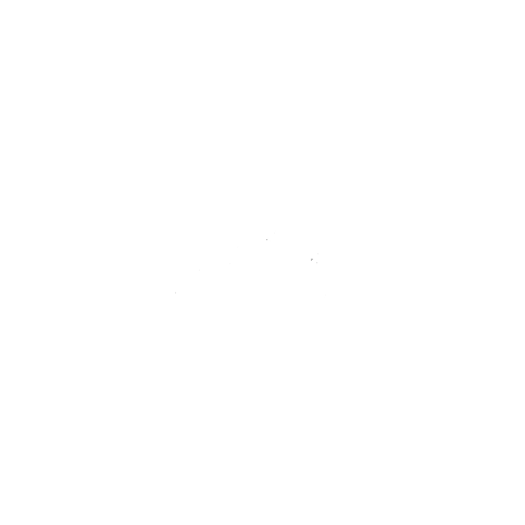 CCCCCCCCCCCC(=O)ON(C(C)O)C(C)O